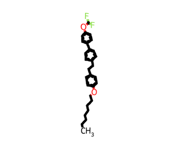 CCCCCCCCOc1ccc(CCc2ccc(-c3ccc(OC(F)F)cc3)cc2)cc1